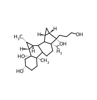 C[C@@H]1[C@@H]2C3C4[C@@H]5C[C@@H]5[C@@](O)(CCCO)[C@@]4(C)CCC3[C@@]3(C)CC[C@H](O)C[C@@]3(O)[C@H]12